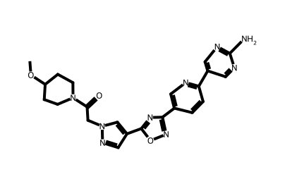 COC1CCN(C(=O)Cn2cc(-c3nc(-c4ccc(-c5cnc(N)nc5)nc4)no3)cn2)CC1